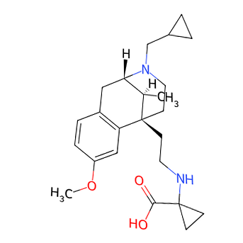 COc1ccc2c(c1)[C@@]1(CCNC3(C(=O)O)CC3)CCN(CC3CC3)[C@@H](C2)[C@H]1C